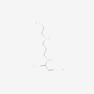 O=C(O)CC(NCCCNCCO)C(=O)O